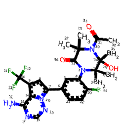 BC1(B)N(c2cc(-c3cc(C(F)(F)F)c4c(N)ncnn34)ccc2F)C(=O)C(C)(C)N(C(C)=O)C1(B)O